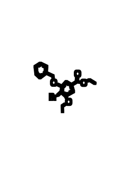 CCOC(=O)c1cc(OCC)c(Br)c(OCc2ccccc2)c1